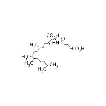 CC(C)=CCCC(C)C(C)CC/C(C)=C/CSC[C@H](NC(=O)CCCC(=O)O)C(=O)O